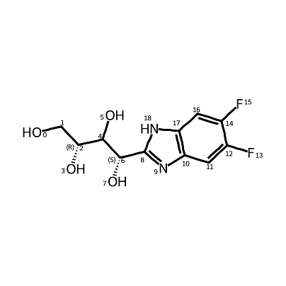 OC[C@@H](O)C(O)[C@@H](O)c1nc2cc(F)c(F)cc2[nH]1